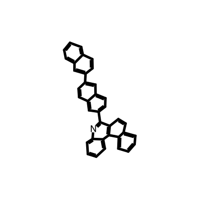 c1ccc2cc(-c3ccc4cc(-c5nc6ccccc6c6c5ccc5ccccc56)ccc4c3)ccc2c1